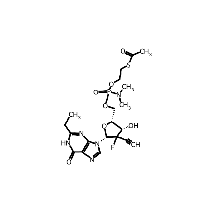 C#CC1(F)[C@@H](O)[C@@H](COP(=O)(OCCSC(C)=O)N(C)C)O[C@H]1n1cnc2c(=O)[nH]c(CC)nc21